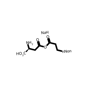 CCCCCCCCCCCC(=O)OC(=O)C[C@H](N)C(=O)O.[NaH]